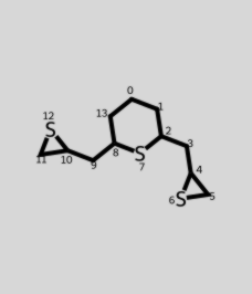 C1CC(CC2CS2)SC(CC2CS2)C1